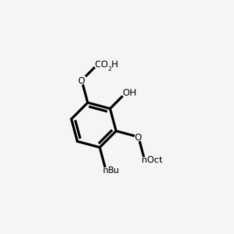 CCCCCCCCOc1c(CCCC)ccc(OC(=O)O)c1O